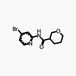 O=C(Nc1cc(Br)ccn1)C1CCCOC1